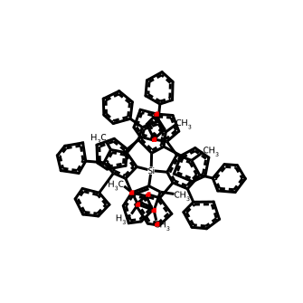 CC1=C(C)C(C)C([Si](c2c(-c3ccccc3)c(C)c(-c3ccccc3)c(-c3ccccc3)c2-c2ccccc2)(c2c(-c3ccccc3)c(C)c(-c3ccccc3)c(-c3ccccc3)c2-c2ccccc2)c2c(-c3ccccc3)c(C)c(-c3ccccc3)c(-c3ccccc3)c2-c2ccccc2)=C1C